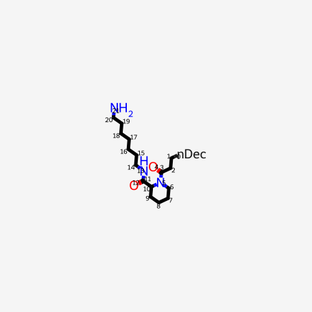 CCCCCCCCCCCCC(=O)N1CCCCC1C(=O)NCCCCCCCN